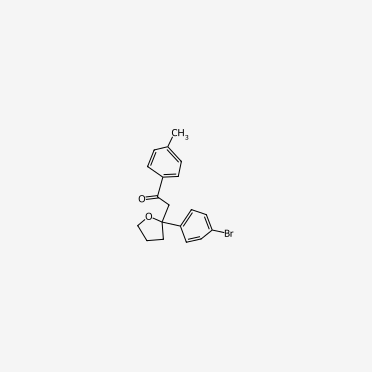 Cc1ccc(C(=O)CC2(c3ccc(Br)cc3)CCCO2)cc1